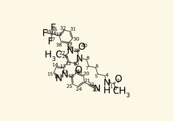 CC(=O)NCCCCCn1c(=O)c(-c2ccnn2-c2ccc(C#N)cc2)c(C)n(-c2cccc(C(F)(F)F)c2)c1=O